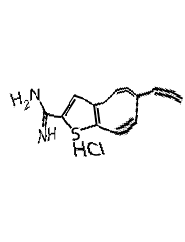 C=Cc1ccc2sc(C(=N)N)cc2c1.Cl